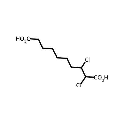 O=C(O)CCCCCCC(Cl)C(Cl)C(=O)O